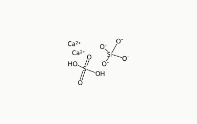 O=S(=O)(O)O.[Ca+2].[Ca+2].[O-][Si]([O-])([O-])[O-]